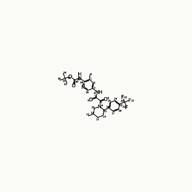 Cc1cc(NC(=O)C(=O)N2CC(C)CCC2c2ccc(C(F)(F)F)cc2)cnc1NC(=O)OC(C)(C)C